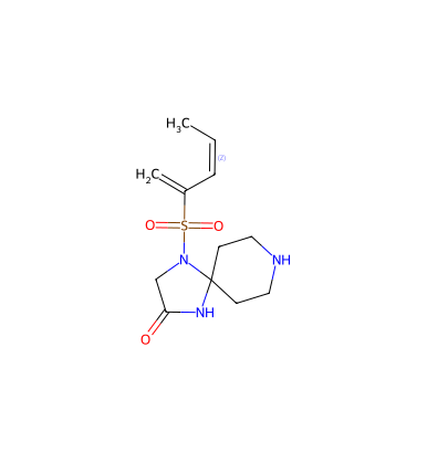 C=C(/C=C\C)S(=O)(=O)N1CC(=O)NC12CCNCC2